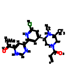 C=CC(=O)N1C[C@H](c2cc(Cl)nc(-c3cc(C(=O)NC)ncn3)c2)N(CC)[C@@H](C(F)(F)F)C1